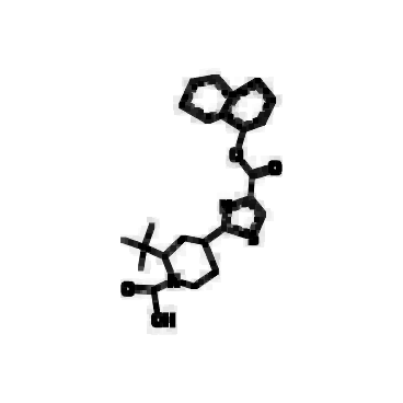 CC(C)(C)C1CC(c2nc(C(=O)Oc3cccc4ccccc34)cs2)CCN1C(=O)O